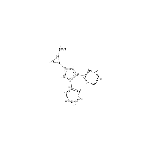 CCCCCC1OC1c1cn(-c2ccccc2)c(-c2ccccc2)n1